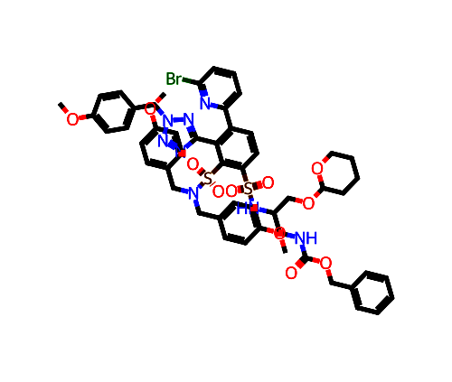 COc1ccc(CN(Cc2ccc(OC)cc2)S(=O)(=O)c2c(S(=O)(=O)NC(CNC(=O)OCc3ccccc3)COC3CCCCO3)ccc(-c3cccc(Br)n3)c2-c2nnn(Cc3ccc(OC)cc3)n2)cc1